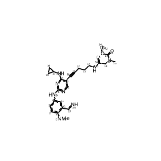 CNc1ccc(Nc2ncc(C#CCCCNC(=O)CN(C)C(=O)OC(C)(C)C)c(NC3CC3)n2)cc1C=N